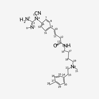 CN=C(N)N(C#N)c1ccc(/C=C/CC(=O)NCCCCN(C)CCc2ccc(C)cc2)cc1